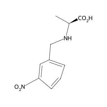 C[C@H](NCc1cccc([N+](=O)[O-])c1)C(=O)O